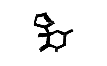 CN1CNC(=S)C(C)(c2cscn2)C1